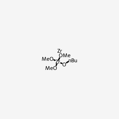 CCCC[O][Zr]([O]C)([O]C)[O]C.[Zr]